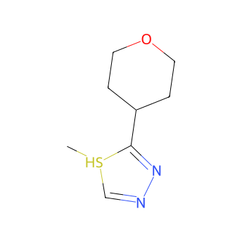 C[SH]1C=NN=C1C1CCOCC1